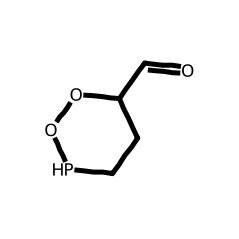 O=CC1CCPOO1